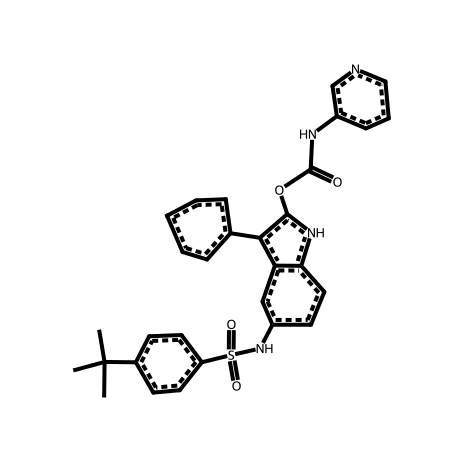 CC(C)(C)c1ccc(S(=O)(=O)Nc2ccc3[nH]c(OC(=O)Nc4cccnc4)c(-c4ccccc4)c3c2)cc1